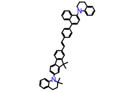 CC1(C)c2cc(/C=C/c3ccc(-c4ccc(N5CCCc6ccccc65)c5ccccc45)cc3)ccc2-c2ccc(N3c4ccccc4CCC3(C)C)cc21